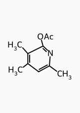 CC(=O)Oc1nc(C)cc(C)c1C